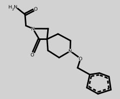 NC(=O)CN1CC2(CCN(OCc3ccccc3)CC2)C1=O